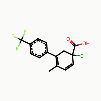 CC1=C(c2ccc(C(F)(F)F)cc2)CC(Cl)(C(=O)O)C=C1